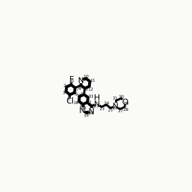 Fc1ccc(Cl)cc1-c1ncccc1-c1ccc2ncnc(NCCCN3CCOCC3)c2c1